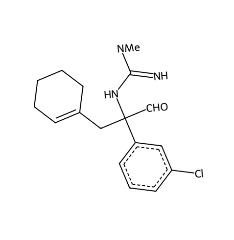 CNC(=N)NC(C=O)(CC1=CCCCC1)c1cccc(Cl)c1